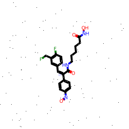 O=Nc1ccc(/C(=C/c2ccc(F)c(CF)c2)C(=O)NCCCCCC(=O)NO)cc1